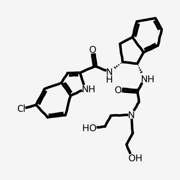 O=C(CN(CCO)CCO)N[C@H]1c2ccccc2C[C@H]1NC(=O)c1cc2cc(Cl)ccc2[nH]1